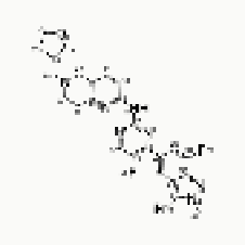 CC(C)c1c2cc(-c3nc(Nc4ccc5c(n4)CCN(CC4CCOC4)C5)ncc3F)cc(F)c2nn1C